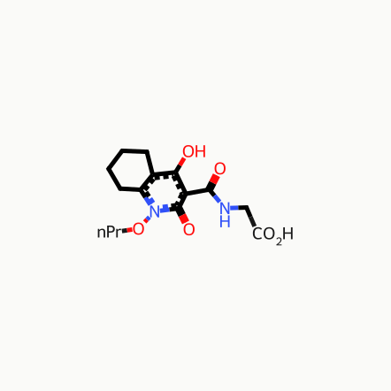 CCCOn1c2c(c(O)c(C(=O)NCC(=O)O)c1=O)CCCC2